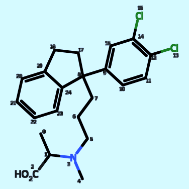 CC(C(=O)O)N(C)CCCC1(c2ccc(Cl)c(Cl)c2)CCc2ccccc21